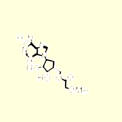 COCC(=O)OC[C@@H]1C[C@H](n2cnc3c(N)ncnc32)[C@H](O)[C@H]1O